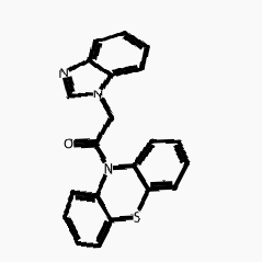 O=C(Cn1cnc2ccccc21)N1c2ccccc2Sc2ccccc21